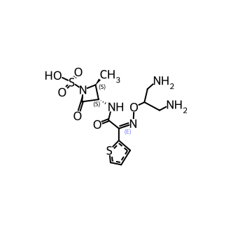 C[C@H]1[C@H](NC(=O)/C(=N\OC(CN)CN)c2cccs2)C(=O)N1S(=O)(=O)O